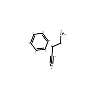 CCCC#N.c1ccccc1